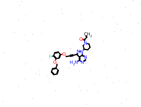 C=CC(=O)N1CCCC(n2nc(C#CCOc3ccc(F)c(OCc4ccccc4)c3)c3c(N)ncnc32)C1